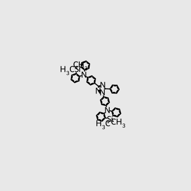 C[Si]1(C)c2ccccc2N(c2ccc(-c3nc(-c4ccccc4)n(-c4ccc(N5c6ccccc6[Si](C)(C)c6ccccc65)cc4)n3)cc2)c2ccccc21